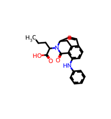 CCCC(C(=O)O)N1C(=O)c2c(Nc3ccccc3)ccc3c2C(=O)C1C=C3